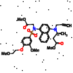 C#CCN(c1ccc(N(CC(=O)OC)S(=O)(=O)c2ccc(OCCOC)c(OC)c2)c2ccccc12)[C@@H](C)CC(=O)OC